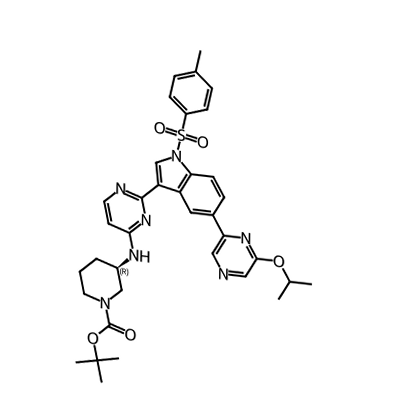 Cc1ccc(S(=O)(=O)n2cc(-c3nccc(N[C@@H]4CCCN(C(=O)OC(C)(C)C)C4)n3)c3cc(-c4cncc(OC(C)C)n4)ccc32)cc1